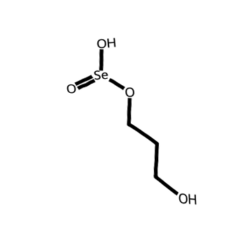 O=[Se](O)OCCCO